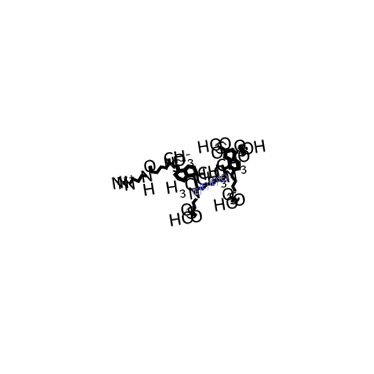 Cc1ccc2c([S+]([O-])N(C)CCCC(=O)NCCCN=[N+]=[N-])cccc2c1C(C)(C)C(/C=C/C=C/C=C1/N(CCCS(=O)(=O)O)c2ccc3c(S(=O)(=O)O)cc(S(=O)(=O)O)cc3c2C1(C)C)=N/CCCS(=O)(=O)O